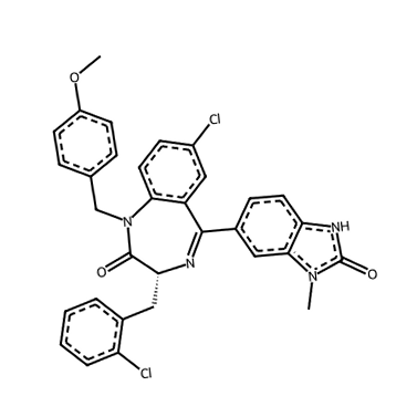 COc1ccc(CN2C(=O)[C@@H](Cc3ccccc3Cl)N=C(c3ccc4[nH]c(=O)n(C)c4c3)c3cc(Cl)ccc32)cc1